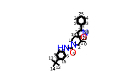 CC1CN(C(=O)Nc2ccc(C(C)(C)C)cc2)CCC12CC(c1ccccc1)=NO2